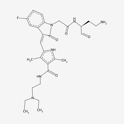 CCN(CC)CCNC(=O)c1c(C)[nH]c(/C=C2\C(=O)N(CC(=O)N[C@H](C=O)CCN)c3ccc(F)cc32)c1C